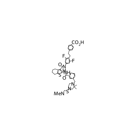 CNCSN1CCN(Cc2cccc(C(=O)Nc3sc4c(c3C(=O)Nc3cc(F)c(CCc5ccc(C(=O)O)cc5)c(F)c3)CCCC4)c2)C(C)(C)C1